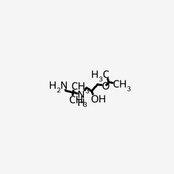 CC(C)OCC(O)CNC(C)(C)CN